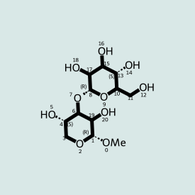 CO[C@@H]1OC[C@H](O)C(O[C@H]2OC(CO)[C@@H](O)C(O)C2O)C1O